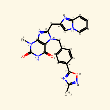 CCn1c(=O)[nH]c(=O)c2c1nc(Cc1cn3ccccc3n1)n2Cc1ccc(-c2nc(C)no2)cc1